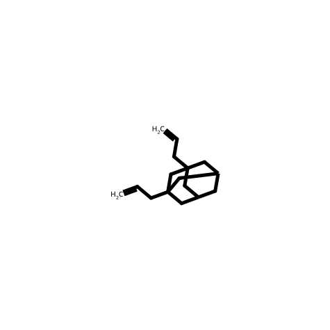 C=CCC12CC3CC(C1)CC(CC=C)(C3)C2